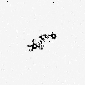 CCOc1cc(C(O)P(=O)(O)CC[C@H](NC(=O)OCc2ccccc2)C(=O)OC)cc([N+](=O)[O-])c1O